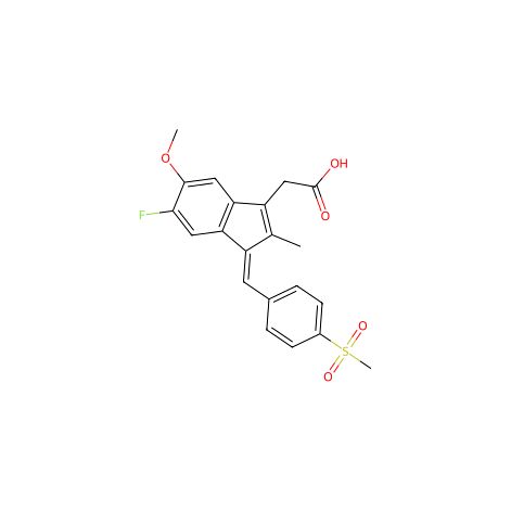 COc1cc2c(cc1F)C(=Cc1ccc(S(C)(=O)=O)cc1)C(C)=C2CC(=O)O